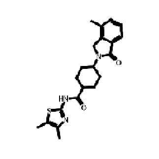 Cc1cccc2c1CN(C1CCC(C(=O)Nc3nc(C)c(C)s3)CC1)C2=O